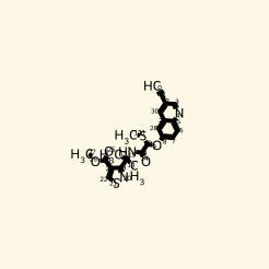 C#Cc1cnc2ccc(OC(SC)C(=O)NC(C)(C)c3nscc3C(=O)OC)cc2c1